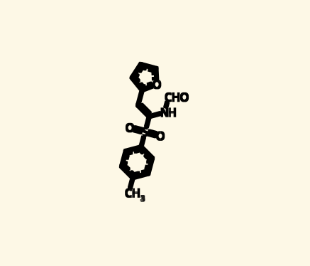 Cc1ccc(S(=O)(=O)C(=Cc2ccco2)NC=O)cc1